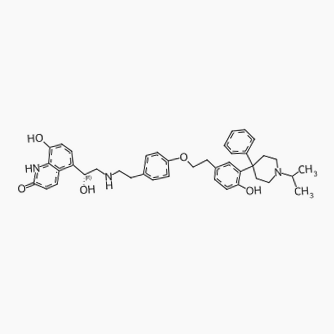 CC(C)N1CCC(c2ccccc2)(c2cc(CCOc3ccc(CCNC[C@H](O)c4ccc(O)c5[nH]c(=O)ccc45)cc3)ccc2O)CC1